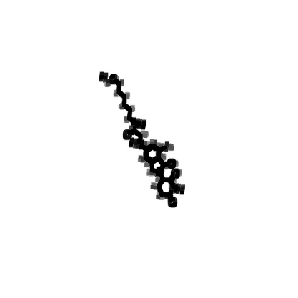 CCCCCCCNC(=O)CNc1cc(I)c2c(c1)CN(C1CCC(=O)NC1=O)C2=O